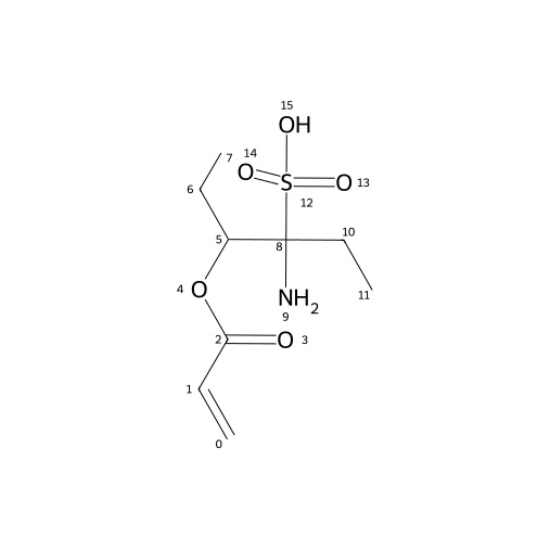 C=CC(=O)OC(CC)C(N)(CC)S(=O)(=O)O